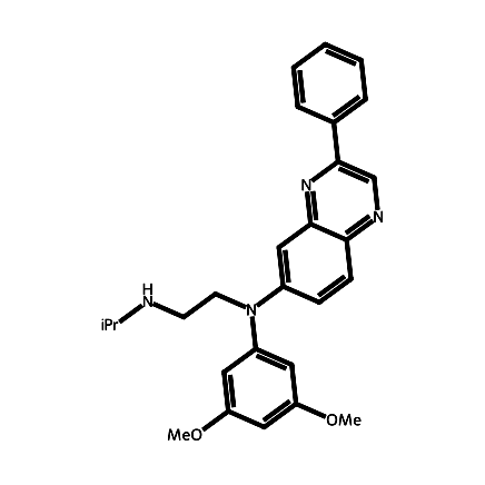 COc1cc(OC)cc(N(CCNC(C)C)c2ccc3ncc(-c4ccccc4)nc3c2)c1